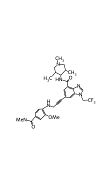 CNC(=O)c1ccc(NCC#Cc2cc(C(=O)NC3C(C)CN(C)CC3C)c3ncn(CC(F)(F)F)c3c2)c(OC)c1